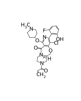 C=CC(=O)N1CCN2C(=O)c3c(OC4CCN(C)CC4)nc(-c4c(O)cccc4F)c(Cl)c3OC[C@H]2C1